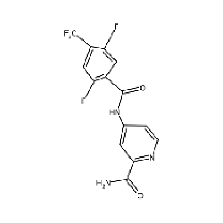 NC(=O)c1cc(NC(=O)c2cc(F)c(C(F)(F)F)cc2F)ccn1